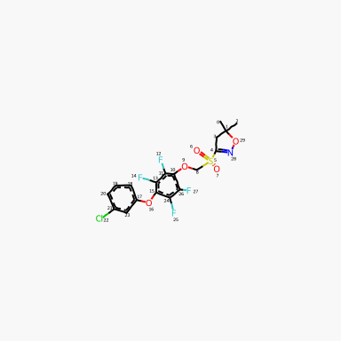 CC1(C)CC(S(=O)(=O)COc2c(F)c(F)c(Oc3cccc(Cl)c3)c(F)c2F)=NO1